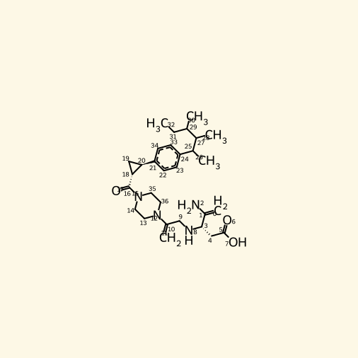 C=C(N)[C@H](CC(=O)O)NCC(=C)N1CCN(C(=O)[C@@H]2C[C@H]2c2ccc(C(C)C(C)C(C)CC)cc2)CC1